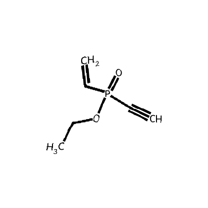 C#CP(=O)(C=C)OCC